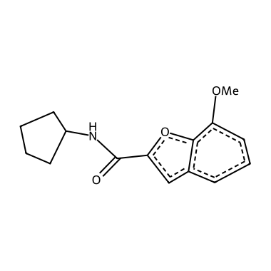 COc1cccc2cc(C(=O)NC3CCCC3)oc12